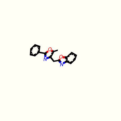 Cc1oc(-c2ccccc2)nc1Cc1nc2ccccc2o1